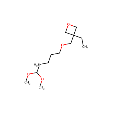 CCC1(COCCC[SiH2]C(OC)OC)COC1